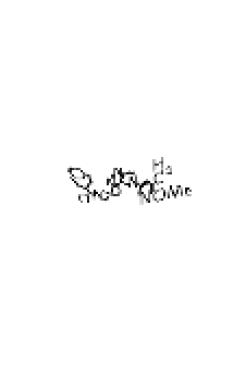 COc1ncc(N2CCc3ncnc(OC4CCN(C(=O)C5CCOCC5)C4)c3C2)cc1C